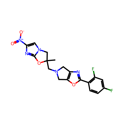 CC1(CN2Cc3nc(-c4ccc(F)cc4F)oc3C2)Cn2cc([N+](=O)[O-])nc2O1